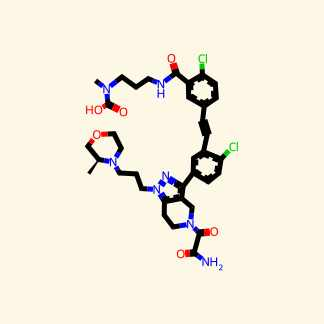 C[C@H]1COCCN1CCCn1nc(-c2ccc(Cl)c(C#Cc3ccc(Cl)c(C(=O)NCCCN(C)C(=O)O)c3)c2)c2c1CCN(C(=O)C(N)=O)C2